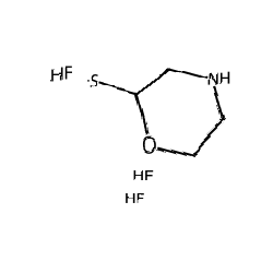 F.F.F.[S]C1CNCCO1